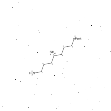 CCCCCCCCCCCCN.[SiH4]